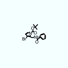 CC(C)(C)OC(=O)n1ccc(Br)c1CNC(=O)c1ccccc1